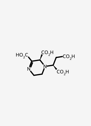 O=C(O)C[C@@H](C(=O)O)N1CCN=C(C(=O)O)[C@H]1C(=O)O